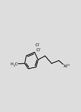 Cc1ccc(CC[CH2][Al+2])cc1.[Cl-].[Cl-]